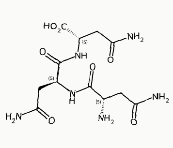 NC(=O)C[C@H](NC(=O)[C@H](CC(N)=O)NC(=O)[C@@H](N)CC(N)=O)C(=O)O